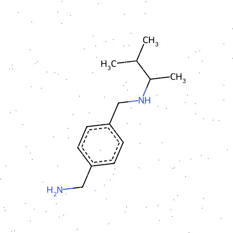 CC(C)C(C)NCc1ccc(CN)cc1